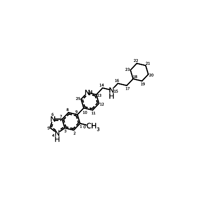 Cc1cc2[nH]cnc2cc1-c1ccc(CNCCC2CCCCC2)nc1